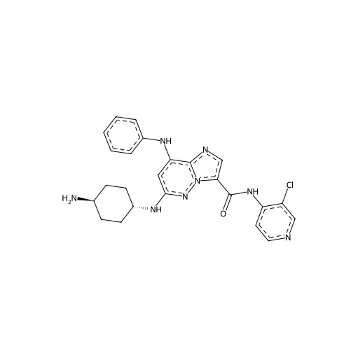 N[C@H]1CC[C@H](Nc2cc(Nc3ccccc3)c3ncc(C(=O)Nc4ccncc4Cl)n3n2)CC1